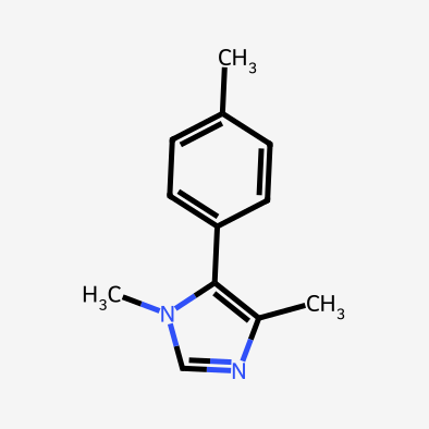 Cc1ccc(-c2c(C)ncn2C)cc1